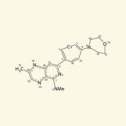 CNc1nc(C2=CCC=C(N3CCOCC3)C=C2)cc2nc(C)cnc12